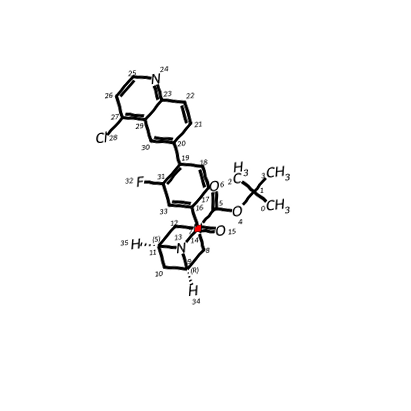 CC(C)(C)OC(=O)N1C[C@H]2C[C@@H](C1)N2C(=O)c1ccc(-c2ccc3nccc(Cl)c3c2)c(F)c1